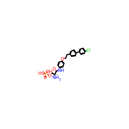 C[C@](N)(COP(=O)(O)O)C(=O)Nc1ccc(OCCc2ccc(-c3ccc(Cl)cc3)cc2)cc1